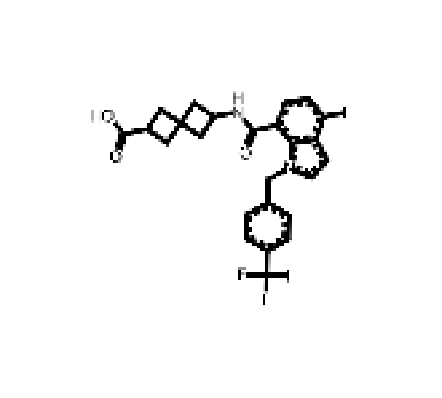 O=C(NC1CC2(C1)CC(C(=O)O)C2)c1ccc(F)c2ccn(Cc3ccc(C(F)(F)F)cc3)c12